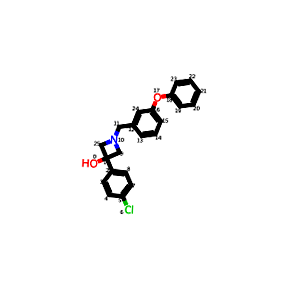 OC1(c2ccc(Cl)cc2)CN(Cc2cccc(Oc3ccccc3)c2)C1